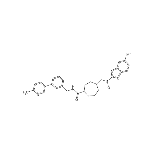 CCCc1ccc2oc([S+]([O-])CC3CCCC(C(=O)NCc4cccc(-c5ccc(C(F)(F)F)nc5)c4)CC3)cc2c1